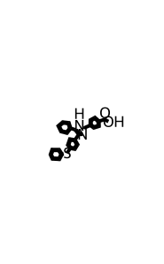 O=C(O)c1ccc(-c2nc(-c3ccc(Sc4ccccc4)cc3)c(-c3ccccc3)[nH]2)cc1